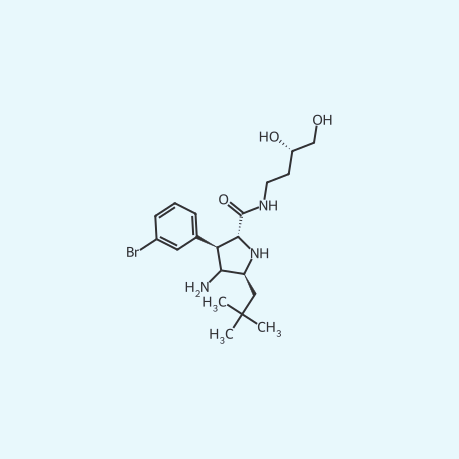 CC(C)(C)C[C@@H]1N[C@@H](C(=O)NCC[C@H](O)CO)[C@H](c2cccc(Br)c2)C1N